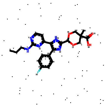 CCCNc1nccc(-c2[nH]c(C3OCC(C)(C(=O)O)CO3)nc2-c2ccc(F)cc2)n1